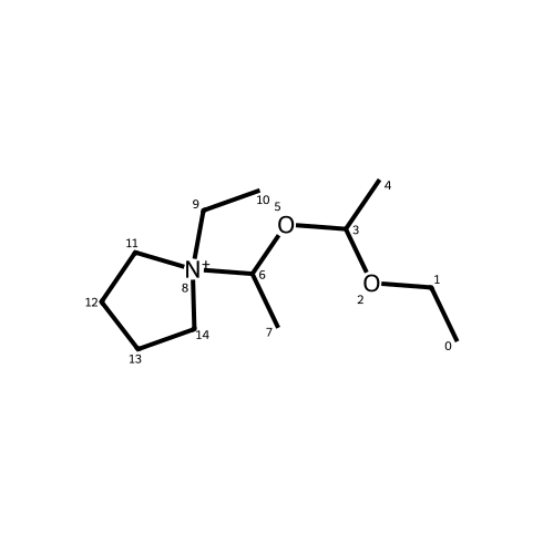 CCOC(C)OC(C)[N+]1(CC)CCCC1